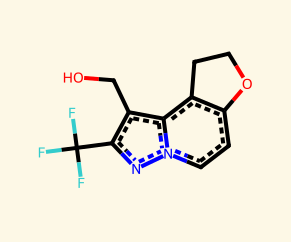 OCc1c(C(F)(F)F)nn2ccc3c(c12)CCO3